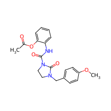 COc1ccc(CN2CCN(C(=O)Nc3ccccc3OC(C)=O)C2=O)cc1